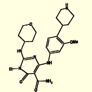 CCn1c(NC2CCOCC2)nc(Nc2ccc(C3CCNCC3)c(OC)c2)c(C(N)=O)c1=O